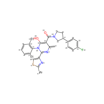 C=C1N=C(c2csc(C(C)C)n2)N(c2c(CC)cccc2CC)C(O)=C1C(=O)N1CCC(c2ccc(F)cc2)C1